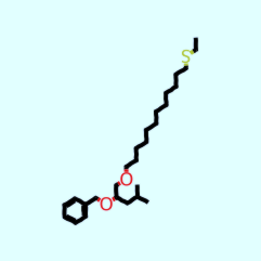 CCSCCCCCCCCCCCCOCC(CC(C)C)OCc1ccccc1